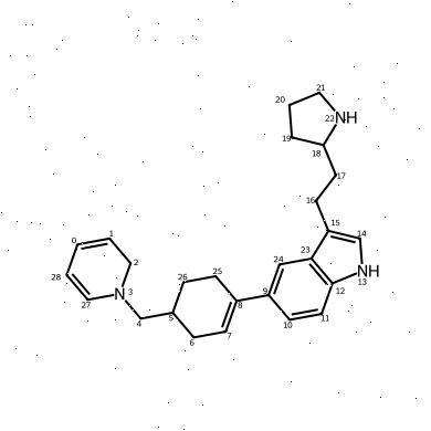 C1=CCN(CC2CC=C(c3ccc4[nH]cc(CCC5CCCN5)c4c3)CC2)C=C1